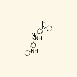 c1cc(-c2cnc(-c3ccc(NC4CCCCC4)cc3)[nH]2)ccc1NC1CCCCC1